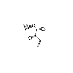 C=CC(=O)C(=O)OC